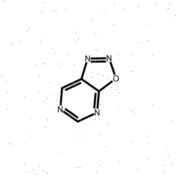 c1ncc2nnoc2n1